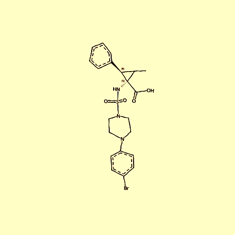 CC1[C@H](c2ccccc2)[C@]1(NS(=O)(=O)N1CCN(c2ccc(Br)cc2)CC1)C(=O)O